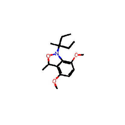 CCC(C)(CC)N1OC(C)c2c(OC)ccc(OC)c21